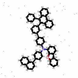 c1ccc(-c2c(-c3cccc(-c4ccc(N(c5ccc(-c6cccc7ccccc67)cc5)c5cccc6c5oc5ccccc56)cc4)c3)c3ccccc3c3ccccc23)cc1